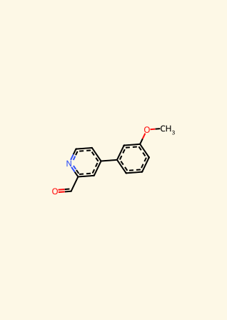 COc1cccc(-c2ccnc(C=O)c2)c1